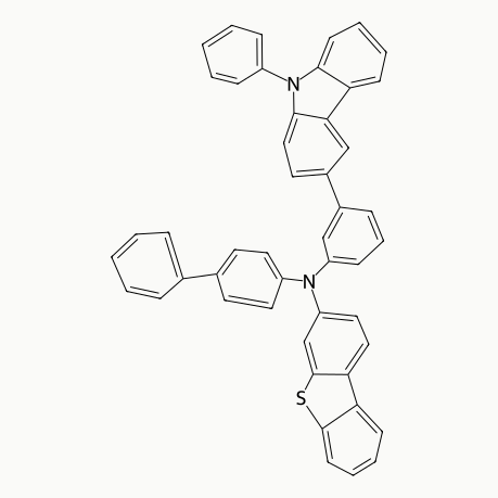 c1ccc(-c2ccc(N(c3cccc(-c4ccc5c(c4)c4ccccc4n5-c4ccccc4)c3)c3ccc4c(c3)sc3ccccc34)cc2)cc1